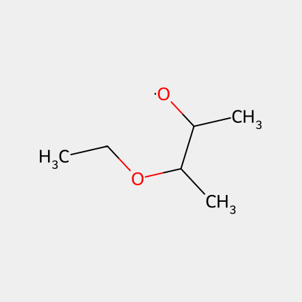 CCOC(C)C(C)[O]